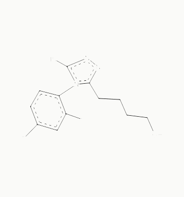 OCCCCc1nnc(S)n1-c1ccc(F)cc1F